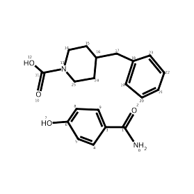 NC(=O)c1ccc(O)cc1.O=C(O)N1CCC(Cc2ccccc2)CC1